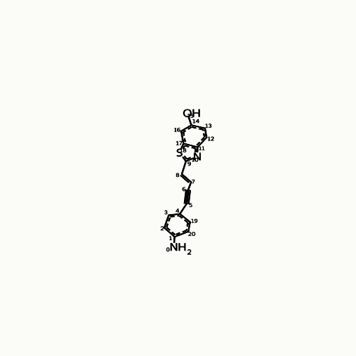 Nc1ccc(C#C/C=C/c2nc3ccc(O)cc3s2)cc1